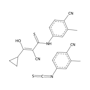 Cc1cc(N=C=S)ccc1C#N.Cc1cc(NC(=S)/C(C#N)=C(\O)C2CC2)ccc1C#N